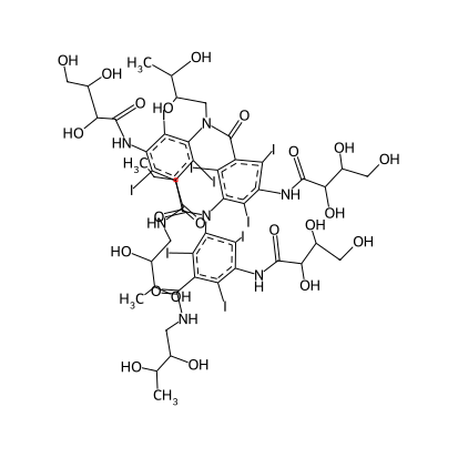 CCCC(=O)N(c1c(I)c(NC(=O)C(O)C(O)CO)c(I)c(C(=O)NCC(O)C(C)O)c1I)c1c(I)c(NC(=O)C(O)C(O)CO)c(I)c(C(=O)N(CC(O)C(C)O)c2c(I)c(NC(=O)C(O)C(O)CO)c(I)c(C(=O)NCC(O)C(C)O)c2I)c1I